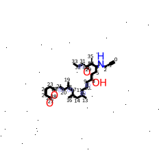 C#CCNC1CC(C(O)/C=C/C=C(\C)CC(C)/C=C(C)\C=C\[C@H]2CC=CC(=O)O2)O[C@@H](/C=C/C)[C@H]1C